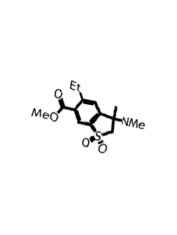 CCc1cc2c(cc1C(=O)OC)S(=O)(=O)CC2(C)NC